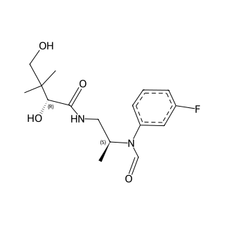 C[C@@H](CNC(=O)[C@H](O)C(C)(C)CO)N(C=O)c1cccc(F)c1